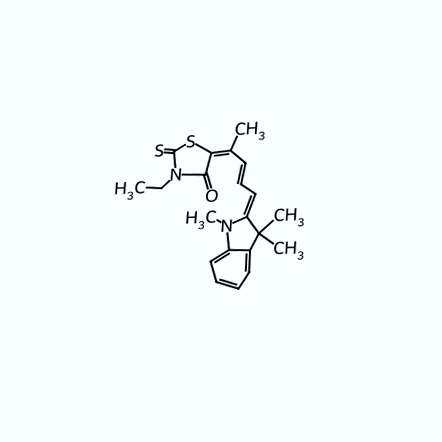 CCN1C(=O)C(=C(C)C=CC=C2N(C)c3ccccc3C2(C)C)SC1=S